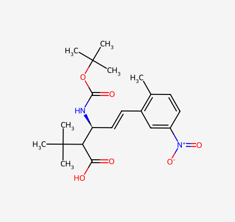 Cc1ccc([N+](=O)[O-])cc1C=C[C@H](NC(=O)OC(C)(C)C)C(C(=O)O)C(C)(C)C